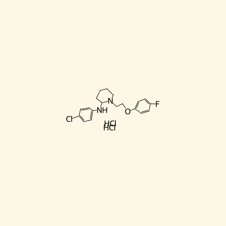 Cl.Cl.Fc1ccc(OCCN2CCCCC2Nc2ccc(Cl)cc2)cc1